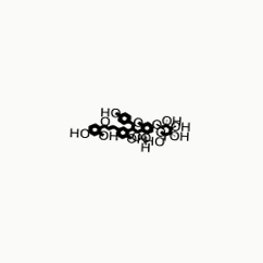 O=C(/C=C/c1ccc(O)c(C2C(=O)c3c(O)cc(O[C@@H]4O[C@H](CO)[C@@H](O)[C@H](O)[C@H]4O)cc3OC2c2ccc(O)cc2)c1)c1ccc(O)cc1O